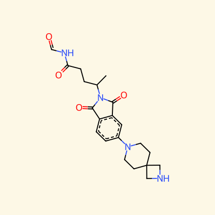 CC(CCC(=O)NC=O)N1C(=O)c2ccc(N3CCC4(CC3)CNC4)cc2C1=O